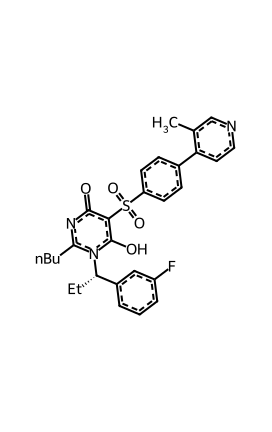 CCCCc1nc(=O)c(S(=O)(=O)c2ccc(-c3ccncc3C)cc2)c(O)n1[C@@H](CC)c1cccc(F)c1